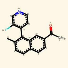 COC(=O)c1ccc2ccc(C)c(-c3ccncc3F)c2c1